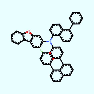 Fc1ccc(-c2cccc3cccc(-c4ccc(N(c5ccc6c(c5)oc5ccccc56)c5cccc6c(-c7ccccc7)cccc56)cc4)c23)cc1